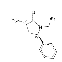 CC(C)CN1C(=O)[C@@H](N)C[C@@H]1c1ccccc1